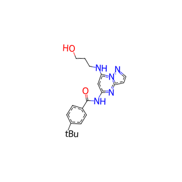 CC(C)(C)c1ccc(C(=O)Nc2cc(NCCCO)n3nccc3n2)cc1